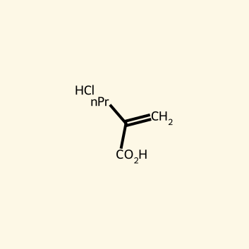 C=C(CCC)C(=O)O.Cl